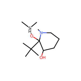 CN1CCCC(O)C1(O[SiH](C)C)C(C)(C)C